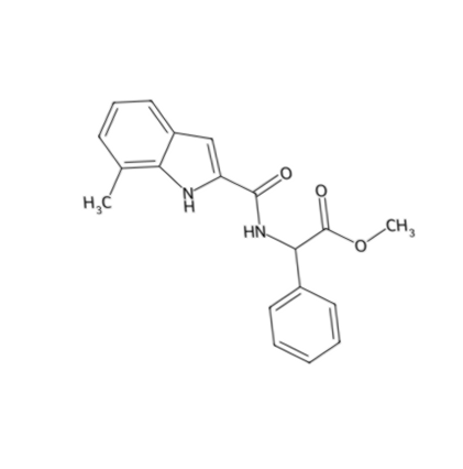 COC(=O)C(NC(=O)c1cc2cccc(C)c2[nH]1)c1ccccc1